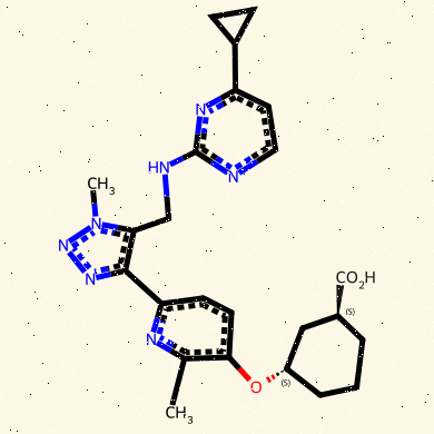 Cc1nc(-c2nnn(C)c2CNc2nccc(C3CC3)n2)ccc1O[C@H]1CCC[C@H](C(=O)O)C1